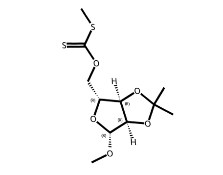 CO[C@@H]1O[C@H](COC(=S)SC)[C@H]2OC(C)(C)O[C@@H]12